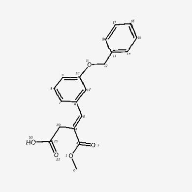 COC(=O)/C(=C/c1cccc(OCc2ccccc2)c1)CC(=O)O